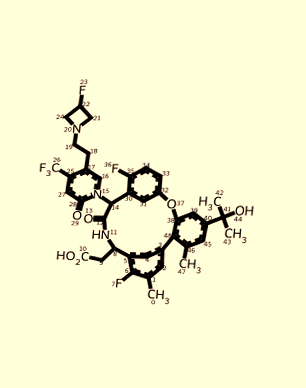 Cc1cc2cc(c1F)C(CC(=O)O)NC(=O)C(n1cc(CCN3CC(F)C3)c(C(F)(F)F)cc1=O)c1cc(ccc1F)Oc1cc(C(C)(C)O)cc(C)c1-2